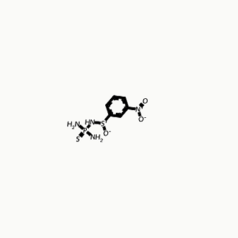 NP(N)(=S)N[S+]([O-])c1cccc([N+](=O)[O-])c1